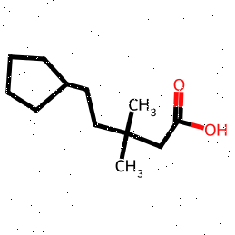 CC(C)(CCC1CCCC1)CC(=O)O